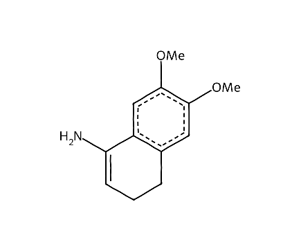 COc1cc2c(cc1OC)C(N)=CCC2